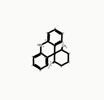 CC1CCCC(C)C12c1ccccc1Nc1ccccc12